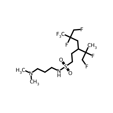 CN(C)CCCNS(=O)(=O)CCC(CC(F)(CF)C(F)(F)F)C(C)(F)CF